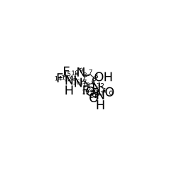 O=C1CN(c2c(O)cc3ncc(NC(F)F)nc3c2F)S(=O)(=O)N1